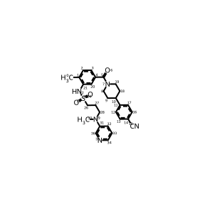 Cc1ccc(C(=O)N2CCC(c3ccc(C#N)cc3)CC2)cc1NS(=O)(=O)CCCN(C)c1cccnc1